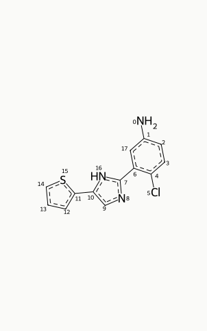 Nc1ccc(Cl)c(-c2ncc(-c3cccs3)[nH]2)c1